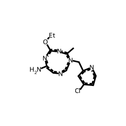 CCOc1nc(N)cncn(Cc2cc(Cl)ccn2)c(C)n1